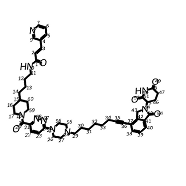 O=C(/C=C/c1cccnc1)NCCCCC1CCN(C(=O)c2ccc(N3CCN(CCCCCCC#Cc4cccc5c4CN(C4CCC(=O)NC4=O)C5=O)CC3)nn2)CC1